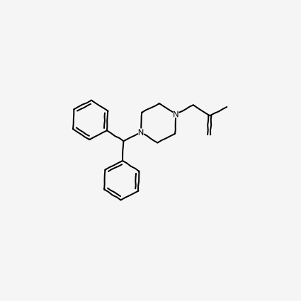 C=C(C)CN1CCN(C(c2ccccc2)c2ccccc2)CC1